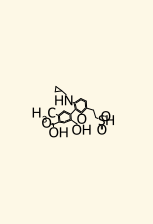 Cc1cc(-c2cc(CC[SH](=O)=O)ccc2NCC2CC2)c(C(=O)O)cc1C(=O)O